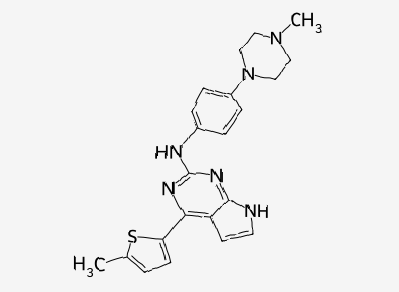 Cc1ccc(-c2nc(Nc3ccc(N4CCN(C)CC4)cc3)nc3[nH]ccc23)s1